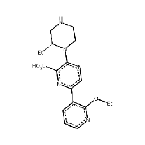 CCOc1ncccc1-c1cnc(N2CCNC[C@H]2CC)c(C(=O)O)n1